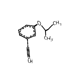 C#Cc1cccc(OC(C)C)c1